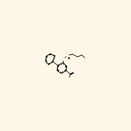 CCCCS(=O)(=O)Nc1cc(C(=O)O)ccc1-c1ccccc1